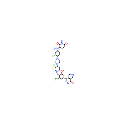 COc1cc(-c2cn(C)c(=O)c3cnccc23)cc(Cl)c1CN1CC[C@H](N2CCN(c3ccc(NC4CCC(=O)NC4=O)cc3F)CC2)C(F)(F)C1